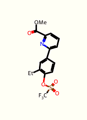 CCc1cc(-c2cccc(C(=O)OC)n2)ccc1OS(=O)(=O)C(F)(F)F